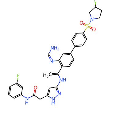 C=C(Nc1cc(CC(=O)Nc2cccc(F)c2)[nH]n1)c1ccc(-c2ccc(S(=O)(=O)N3CC[C@H](F)C3)cc2)cc1/N=C\N